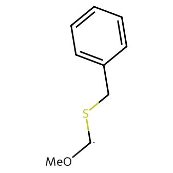 CO[CH]SCc1ccccc1